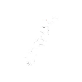 CCCOC(=O)c1ccc(-c2ccc(CC[C@H]3CC[C@H](CCC)CC3)cc2)cc1